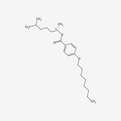 [CH2]C(C)CCC[C@H](C)OC(=O)c1ccc(OCCCCCCCC)cc1